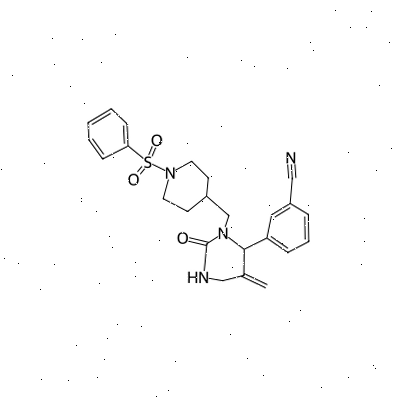 C=C1CNC(=O)N(CC2CCN(S(=O)(=O)c3ccccc3)CC2)C1c1cccc(C#N)c1